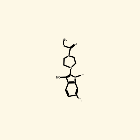 CCn1c(N2CCN(C(=O)OC(C)(C)C)CC2)c(C#N)c2ccc(C(F)(F)F)cc21